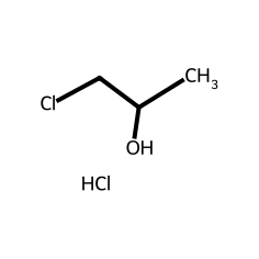 CC(O)CCl.Cl